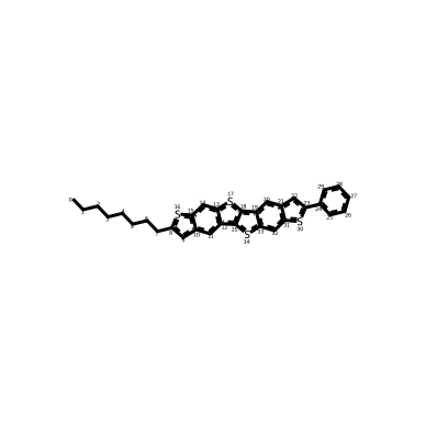 CCCCCCCCc1cc2cc3c(cc2s1)sc1c2cc4cc(-c5ccccc5)sc4cc2sc31